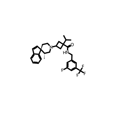 CC(C)C1(C(=O)NCc2cc(F)cc(C(F)(F)F)c2)CC(N2CC[C@@]3(C=Cc4ccccc43)[C@@H](C)C2)C1